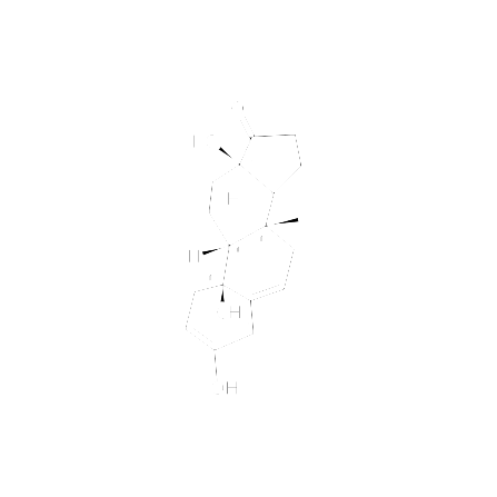 C[C@]12CC=C(O)CC1=CC[C@@H]1[C@H]2CC[C@]2(C)C(=O)CC[C@@H]12